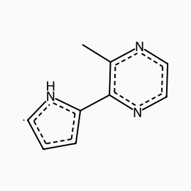 Cc1nccnc1-c1cc[c][nH]1